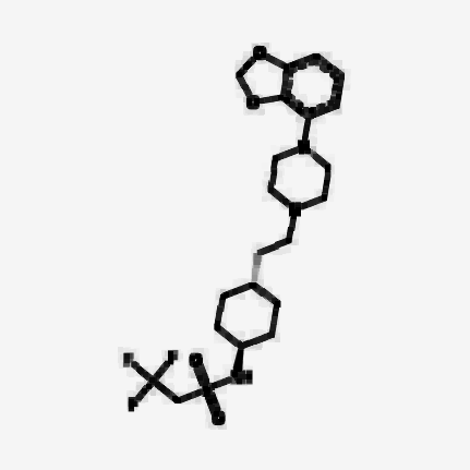 O=S(=O)(CC(F)(F)F)N[C@H]1CC[C@H](CCN2CCN(c3cccc4c3OCO4)CC2)CC1